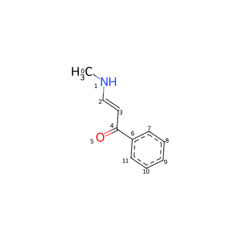 CNC=CC(=O)c1ccccc1